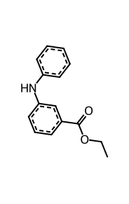 CCOC(=O)c1cccc(Nc2ccccc2)c1